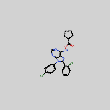 O=C(ONc1ncnc2c1nc(-c1ccccc1Cl)n2-c1ccc(Cl)cc1)C1CCCC1